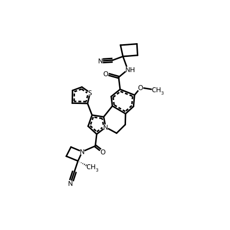 COc1cc2c(cc1C(=O)NC1(C#N)CCC1)-c1c(-c3cccs3)cc(C(=O)N3CC[C@]3(C)C#N)n1CC2